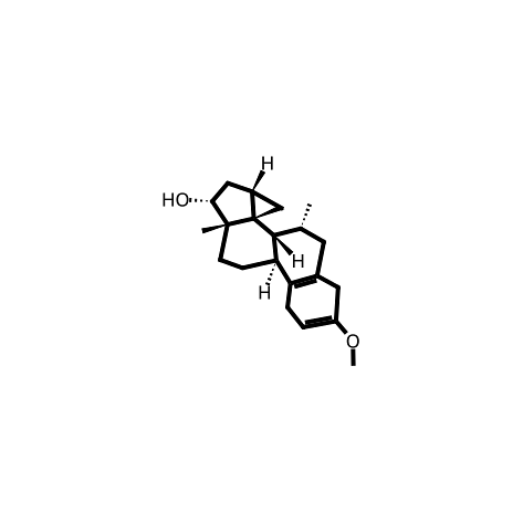 COC1=CCC2=C(C1)C[C@@H](C)[C@@H]1[C@@H]2CC[C@]2(C)[C@H](O)C[C@@H]3C[C@@]312